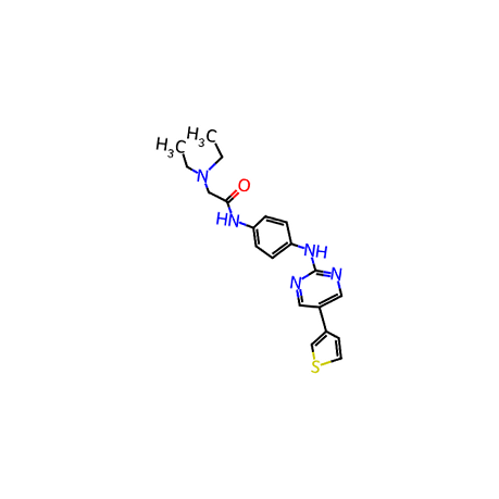 CCN(CC)CC(=O)Nc1ccc(Nc2ncc(-c3ccsc3)cn2)cc1